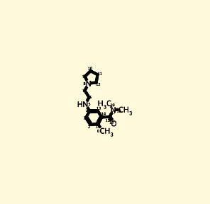 Cc1ccc(NCCN2CCCC2)cc1C(=O)N(C)C